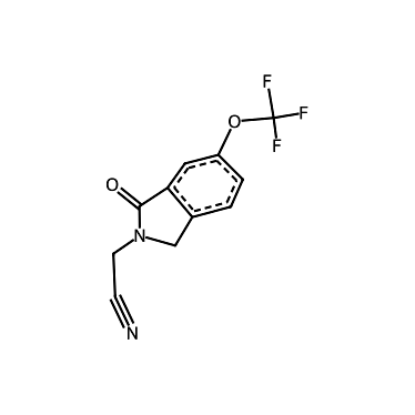 N#CCN1Cc2ccc(OC(F)(F)F)cc2C1=O